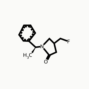 C[C@@H](c1ccccc1)N1CC(CF)CC1=O